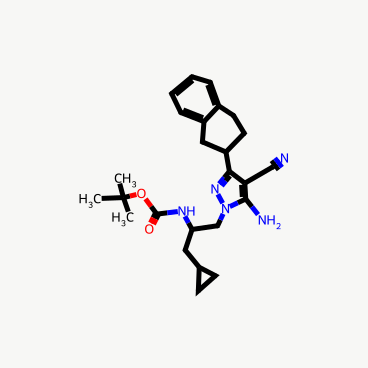 CC(C)(C)OC(=O)NC(CC1CC1)Cn1nc(C2CCc3ccccc3C2)c(C#N)c1N